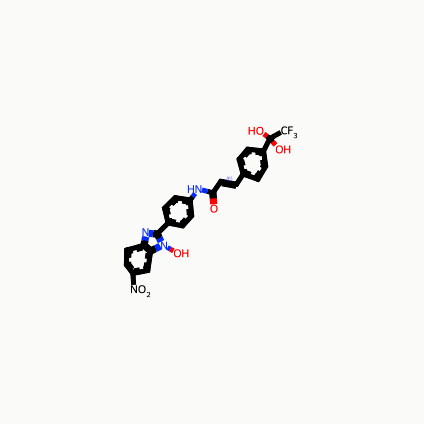 O=C(/C=C/c1ccc(C(O)(O)C(F)(F)F)cc1)Nc1ccc(-c2nc3ccc([N+](=O)[O-])cc3n2O)cc1